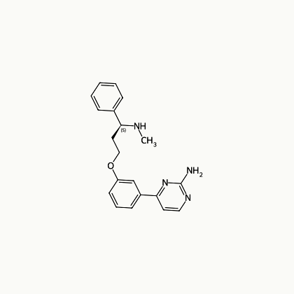 CN[C@@H](CCOc1cccc(-c2ccnc(N)n2)c1)c1ccccc1